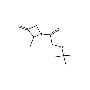 C=C1CN(C(=O)COC(C)(C)C)C1C